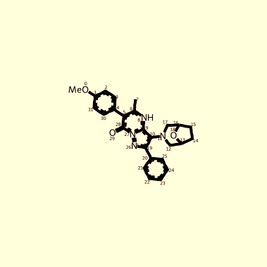 COc1ccc(-c2c(C)[nH]c3c(N4CC5CCC(C4)O5)c(-c4ccccc4)nn3c2=O)cc1